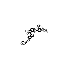 COc1ccc(CNc2ccc3c(c2)C(=C2OCc4cc(OCCN5CCOCC5)ccc42)C(=O)N3)c(OC)c1